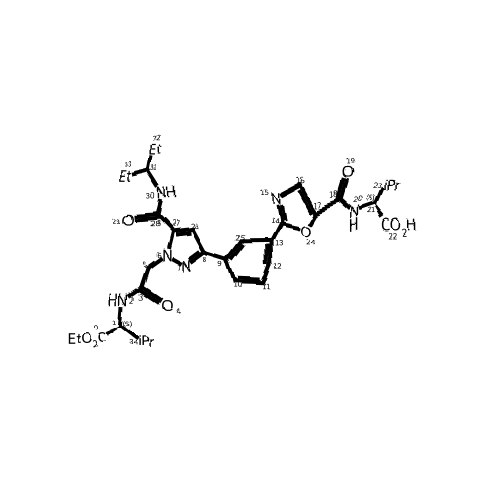 CCOC(=O)[C@@H](NC(=O)Cn1nc(-c2cccc(-c3ncc(C(=O)N[C@H](C(=O)O)C(C)C)o3)c2)cc1C(=O)NC(CC)CC)C(C)C